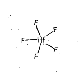 [F][Hf]([F])([F])([F])[F]